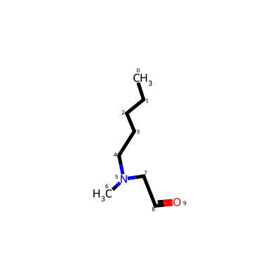 CCCCCN(C)CC=O